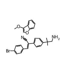 CC(C)(CN)c1ccc(/C(C#N)=C/c2ccc(Br)cc2)cc1.COc1coc2ccccc12